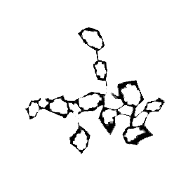 c1ccc(-c2ccc(N(c3ccc4c(c3)c3cc5sc6ccccc6c5cc3n4-c3ccccc3)c3cccc4c3-c3ccccc3C43c4ccccc4-c4ccccc43)cc2)cc1